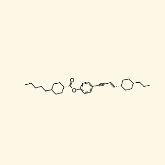 CCCCC[C@H]1CC[C@H](C(=O)Oc2ccc(C#CC=C[C@H]3CC[C@H](CCC)CC3)cc2)CC1